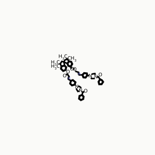 CC1(C)CC2(CC(C)(C)c3ccc(OC(=O)/C=C/c4ccc(N5CCN(C(=O)c6ccccc6)CC5)cc4)cc32)c2cc(OOC/C=C/c3ccc(N4CCN(C(=O)c5ccccc5)CC4)cc3)ccc21